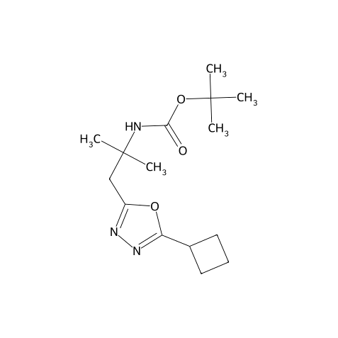 CC(C)(Cc1nnc(C2CCC2)o1)NC(=O)OC(C)(C)C